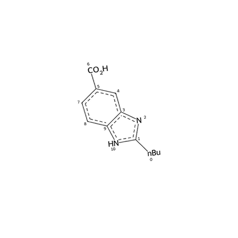 CCCCc1nc2cc(C(=O)O)ccc2[nH]1